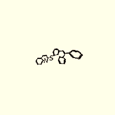 C(=C(c1ccccc1)c1ccccc1)c1cccc(Sc2ccc3ccccc3n2)c1